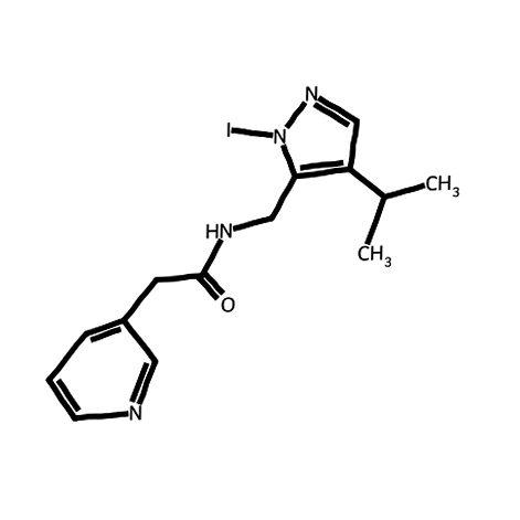 CC(C)c1cnn(I)c1CNC(=O)Cc1cccnc1